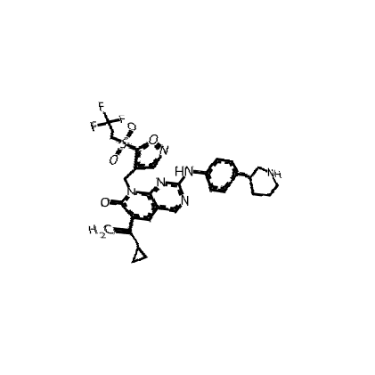 C=C(c1cc2cnc(Nc3ccc(C4CCCNC4)cc3)nc2n(Cc2cnoc2S(=O)(=O)CC(F)(F)F)c1=O)C1CC1